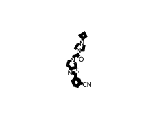 N#Cc1cccc(-c2nc3c(s2)CN(CC(=O)N2CCN(C4CCC4)CC2)CC3)c1